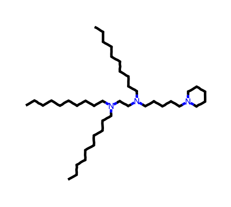 CCCCCCCCCCN(CCCCCCCCCC)CCN(CCCCCCCCCC)CCCCCN1CCCCC1